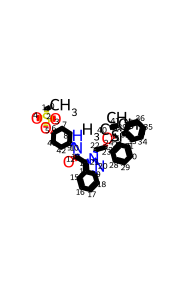 CCS(=O)(=O)OC1CCC(NC(=O)c2c3ccccc3nn2CCO[Si](c2ccccc2)(c2ccccc2)C(C)(C)C)CC1